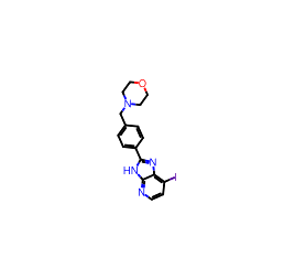 Ic1ccnc2[nH]c(-c3ccc(CN4CCOCC4)cc3)nc12